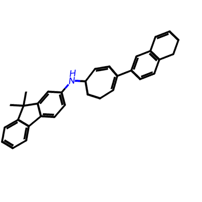 CC1(C)c2ccccc2-c2ccc(NC3C=CC(c4ccc5c(c4)C=CCC5)=CCC3)cc21